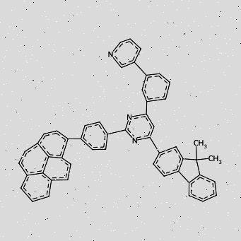 CC1(C)c2ccccc2-c2ccc(-c3cc(-c4cccc(-c5cccnc5)c4)nc(-c4ccc(-c5ccc6ccc7cccc8ccc5c6c78)cc4)n3)cc21